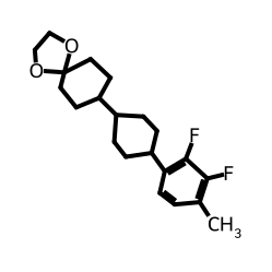 Cc1ccc(C2CCC(C3CCC4(CC3)OCCO4)CC2)c(F)c1F